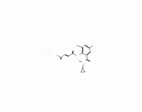 COC(=O)/C=C/C(=O)Nc1c(C)cc(Cl)cc1C(=O)N(C)C1CC1